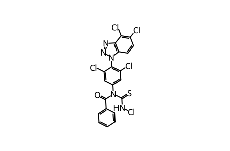 O=C(c1ccccc1)N(C(=S)NCl)c1cc(Cl)c(-n2nnc3c(Cl)c(Cl)ccc32)c(Cl)c1